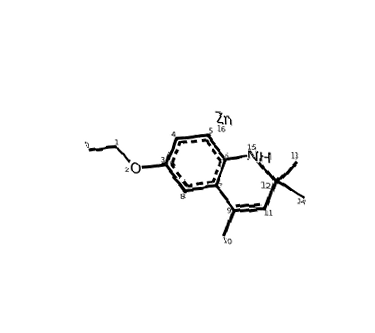 CCOc1ccc2c(c1)C(C)=CC(C)(C)N2.[Zn]